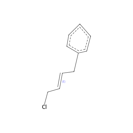 ClC/C=C/Cc1ccccc1